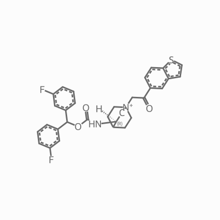 O=C(N[C@H]1C[N+]2(CC(=O)c3ccc4sccc4c3)CCC1CC2)OC(c1cccc(F)c1)c1cccc(F)c1